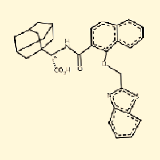 O=C(N[C@H](C(=O)O)C12CC3CC(CC(C3)C1)C2)c1ccc2ccccc2c1OCc1nc2ccccc2s1